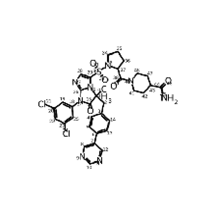 CC1(Cc2ccc(-c3cncnc3)cc2)C(=O)N(c2cc(Cl)cc(Cl)c2)c2ncc(S(=O)(=O)N3CCCC3C(=O)N3CCC(C(N)=O)CC3)n21